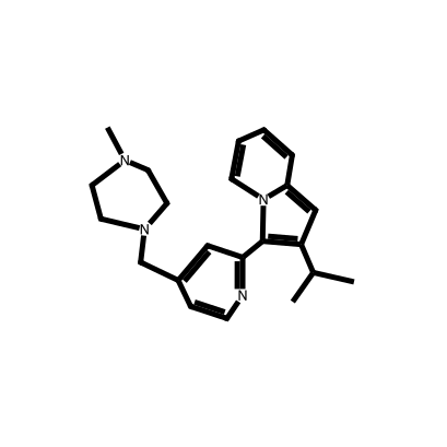 CC(C)c1cc2ccccn2c1-c1cc(CN2CCN(C)CC2)ccn1